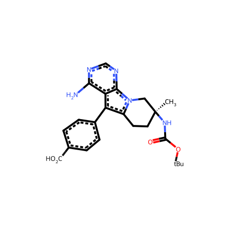 CC(C)(C)OC(=O)N[C@@]1(C)CCc2c(-c3ccc(C(=O)O)cc3)c3c(N)ncnc3n2C1